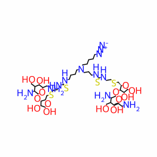 [N-]=[N+]=NCCCCCN(CCCCNC(=S)NCCSCC1OC(O)C(O)C1O[C@H]1OC(CN)[C@@H](O)C(CO)C1N)CCCNC(=S)NCCSC[C@H]1OC(O)C(O)C1O[C@H]1OC(CN)=C(O)C(CO)C1N